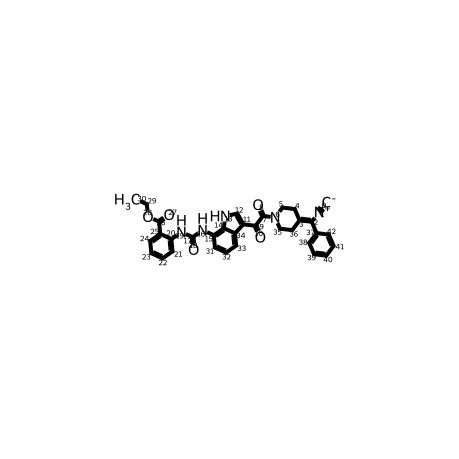 [C-]#[N+]C(=C1CCN(C(=O)C(=O)c2c[nH]c3c(NC(=O)Nc4ccccc4C(=O)OCC)cccc23)CC1)c1ccccc1